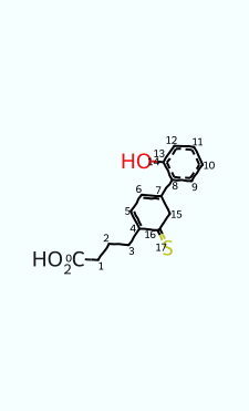 O=C(O)CCCC1=CC=C(c2ccccc2O)CC1=S